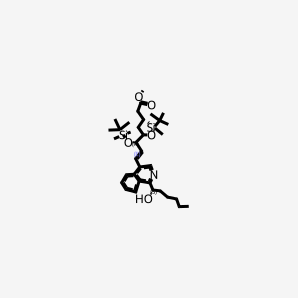 CCCCC[C@H](O)c1ncc(/C=C/[C@@H](O[Si](C)(C)C(C)(C)C)C(CCCC(=O)OC)O[Si](C)(C)C(C)(C)C)c2ccccc12